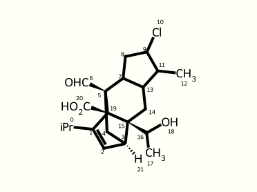 CC(C)C1=C[C@H]2C[C@]3(C=O)C4CC(Cl)C(C)C4C[C@@]2(C(C)O)[C@]13C(=O)O